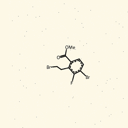 COC(=O)c1ccc(Br)c(F)c1CCBr